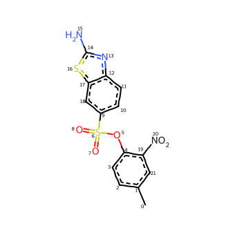 Cc1ccc(OS(=O)(=O)c2ccc3nc(N)sc3c2)c([N+](=O)[O-])c1